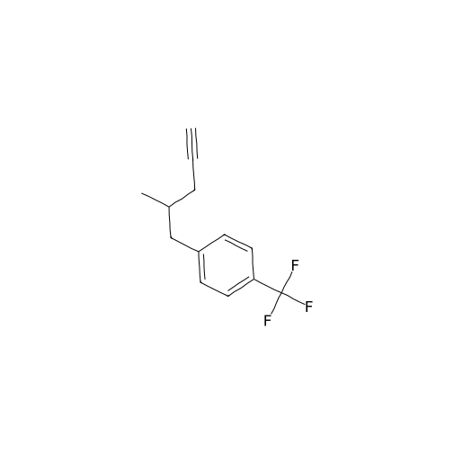 C#CCC(C)Cc1ccc(C(F)(F)F)cc1